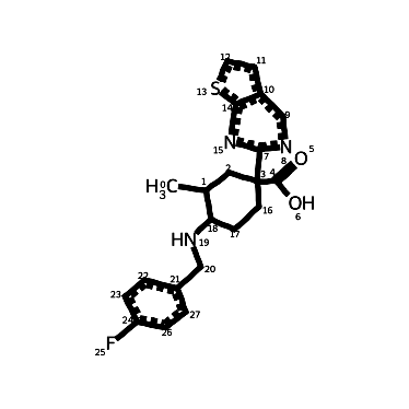 CC1CC(C(=O)O)(c2ncc3ccsc3n2)CCC1NCc1ccc(F)cc1